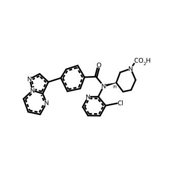 O=C(O)N1CCC[C@@H](N(C(=O)c2ccc(-c3cnn4cccnc34)cc2)c2ncccc2Cl)C1